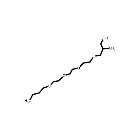 CCCCOCCOCCOCCOCC(C)CO